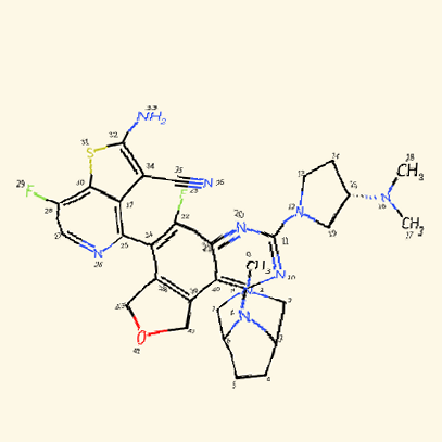 CN1CC2CCC(C1)N2c1nc(N2CC[C@H](N(C)C)C2)nc2c(F)c(-c3ncc(F)c4sc(N)c(C#N)c34)c3c(c12)COC3